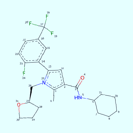 Cc1c(C(=O)NC2CCCCC2)cc(-c2cc(C(F)(F)F)ccc2F)n1C[C@H]1CCCO1